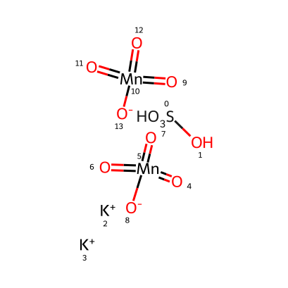 O=S(=O)(O)O.[K+].[K+].[O]=[Mn](=[O])(=[O])[O-].[O]=[Mn](=[O])(=[O])[O-]